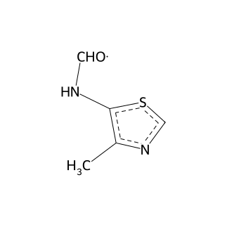 Cc1ncsc1N[C]=O